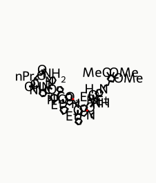 CCC(=O)C(CC(C)N(C)C)(c1ccccc1)c1ccccc1.CCC(=O)C(CC(C)N(C)C)(c1ccccc1)c1ccccc1.CCC1(c2ccccc2)NC(=O)N(C)C1=O.CCCC(C)(COC(N)=O)COC(N)=O.CCOC(=O)C1(c2ccccc2)CCN(C)CC1.COc1cc(CCN)cc(OC)c1OC.Cc1cccc(C)c1NC(=O)C1CCCCN1C